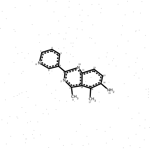 Cc1nc(-c2cccnc2)nc2ccc(N)c(C)c12